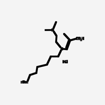 CCCCCCCCCCCCCCCCN(C=C(C)C(=O)O)CCN(C)C.Cl